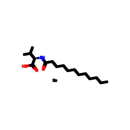 CCCCCCCCCCCC(=O)N[C@H](C(=O)O)C(C)C.[Na]